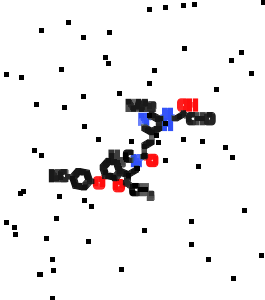 CNc1ncc(/C=C/C(=O)N(C)Cc2c(C)oc3c(Oc4ccc(C#N)cc4)cccc23)cc1NCC(O)C=O